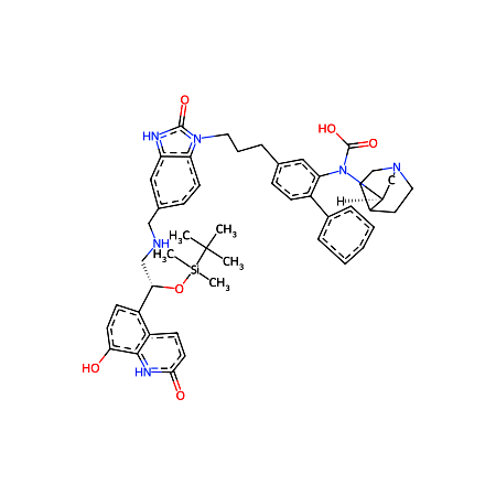 CC(C)(C)[Si](C)(C)O[C@@H](CNCc1ccc2c(c1)[nH]c(=O)n2CCCc1ccc(-c2ccccc2)c(N(C(=O)O)[C@H]2CN3CCC2CC3)c1)c1ccc(O)c2[nH]c(=O)ccc12